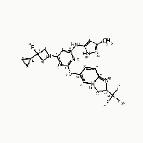 Cc1cc(Nc2cc(N3CC(F)(C4CC4)C3)nc(SC3=CN4CC(C(F)(F)F)N=C4C=C3)n2)[nH]n1